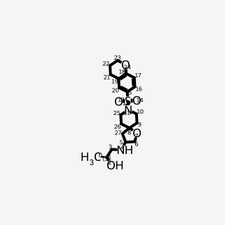 C[C@H](O)CNC1COC2(CCN(S(=O)(=O)c3ccc4c(c3)CCCO4)CC2)C1